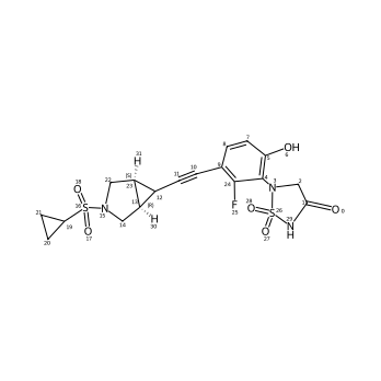 O=C1CN(c2c(O)ccc(C#CC3[C@H]4CN(S(=O)(=O)C5CC5)C[C@@H]34)c2F)S(=O)(=O)N1